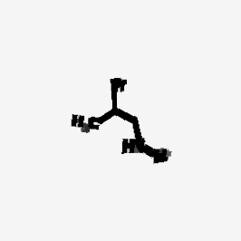 C[CH]NCC(C)C(C)C